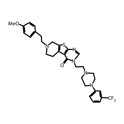 COc1ccc(CCN2CCc3c(sc4ncn(CCN5CCN(c6cccc(C(F)(F)F)c6)CC5)c(=O)c34)C2)cc1